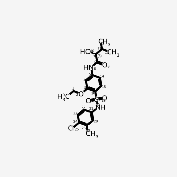 CCOc1cc(NC(=O)[C@@H](O)C(C)C)ccc1S(=O)(=O)Nc1ccc(Cl)c(C)c1